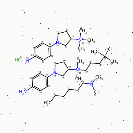 CCCCCCN(C)C.C[N+](C)(C)C1CCN(c2ccc(N)cc2)C1.C[N+](C)(CCC[Si](C)(C)C)C1CCN(c2ccc(N)cc2)C1.Cl